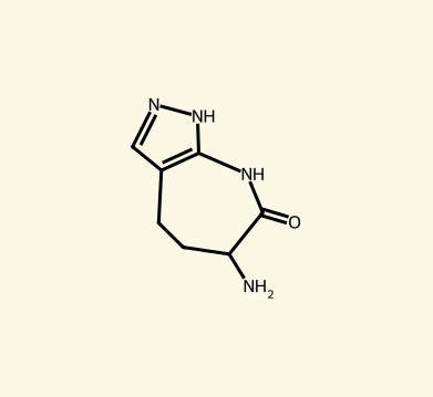 NC1CCc2cn[nH]c2NC1=O